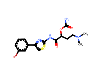 CN(C)CCC(OC(N)=O)C(=O)Nc1nc(-c2cccc(Br)c2)cs1